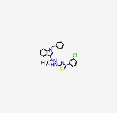 C/C(=N\Nc1nc(-c2cccc(Cl)c2)cs1)c1cn(Cc2ccccc2)c2ccccc12